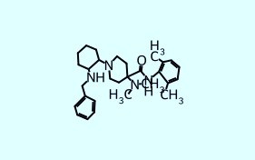 Cc1cccc(C)c1NC(=O)C1(N(C)C)CCN(C2CCCCC2NCc2ccccc2)CC1